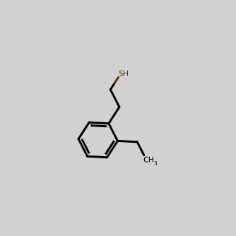 CCc1ccccc1CCS